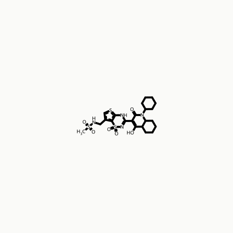 CS(=O)(=O)NCc1csc2c1S(=O)(=O)N=C(C1=C(O)C3CCCCC3N(C3CCCCC3)C1=O)N2